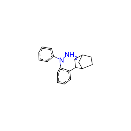 NN(c1ccccc1)c1ccccc1C1CC2CCC1C2